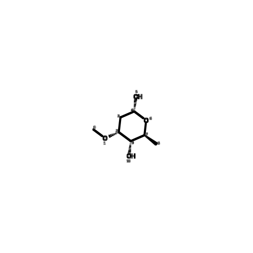 CO[C@@H]1C[C@H](O)O[C@@H](C)[C@@H]1O